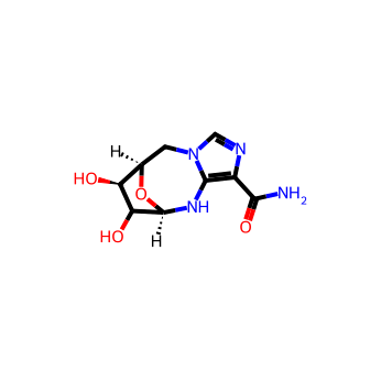 NC(=O)c1ncn2c1N[C@@H]1O[C@H](C2)[C@H](O)C1O